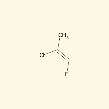 C/C(Cl)=C/F